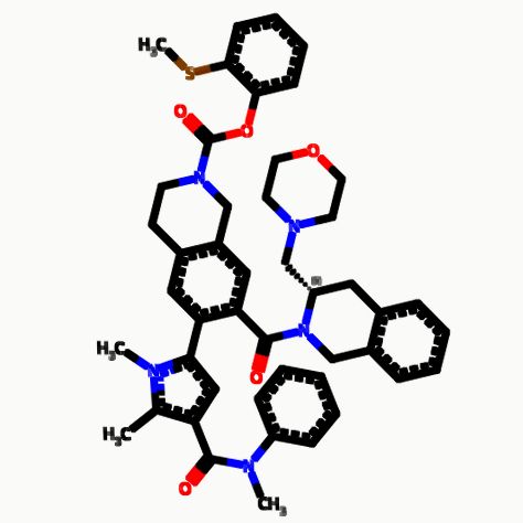 CSc1ccccc1OC(=O)N1CCc2cc(-c3cc(C(=O)N(C)c4ccccc4)c(C)n3C)c(C(=O)N3Cc4ccccc4C[C@H]3CN3CCOCC3)cc2C1